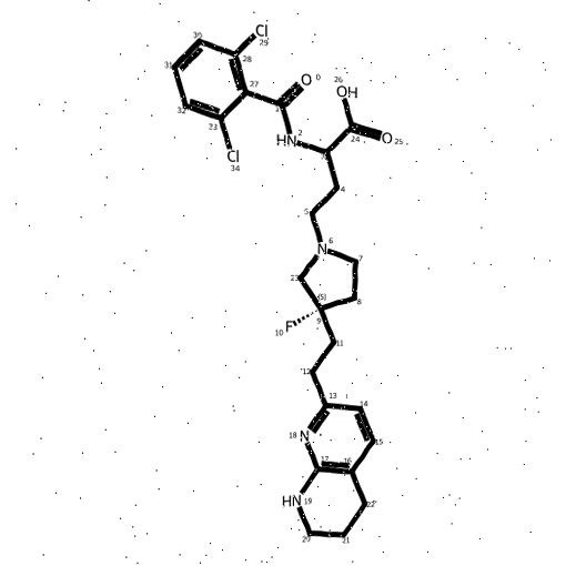 O=C(NC(CCN1CC[C@@](F)(CCc2ccc3c(n2)NCCC3)C1)C(=O)O)c1c(Cl)cccc1Cl